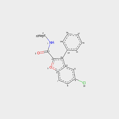 CCCCCCCNC(=O)c1oc2ccc(Cl)cc2c1-c1ccccc1